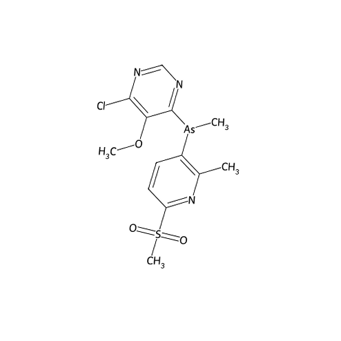 COc1c(Cl)ncnc1[As](C)c1ccc(S(C)(=O)=O)nc1C